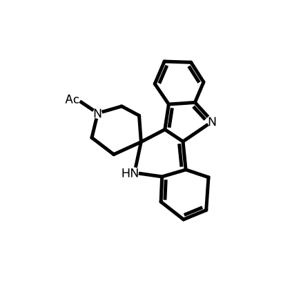 CC(=O)N1CCC2(CC1)NC1=CC=CCC1=C1N=c3ccccc3=C12